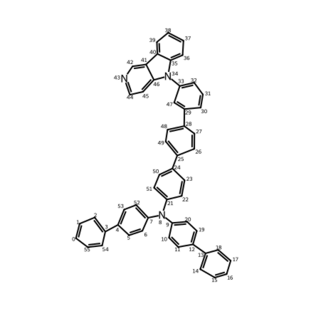 c1ccc(-c2ccc(N(c3ccc(-c4ccccc4)cc3)c3ccc(-c4ccc(-c5cccc(-n6c7ccccc7c7cnccc76)c5)cc4)cc3)cc2)cc1